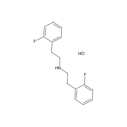 Cl.Fc1ccccc1CCNCCc1ccccc1F